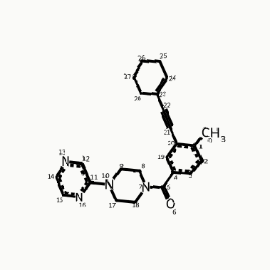 Cc1ccc(C(=O)N2CCN(c3cnccn3)CC2)cc1C#CC1=CCCCC1